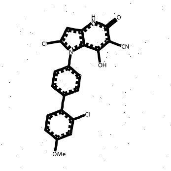 COc1ccc(-c2ccc(-n3c(Cl)cc4[nH]c(=O)c(C#N)c(O)c43)cc2)c(Cl)c1